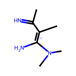 CC(=N)/C(C)=C(\N)N(C)C